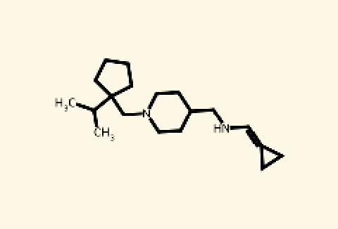 CC(C)C1(CN2CCC(CNC=C3CC3)CC2)CCCC1